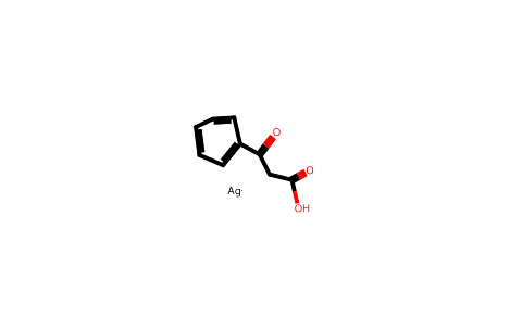 O=C(O)CC(=O)c1ccccc1.[Ag]